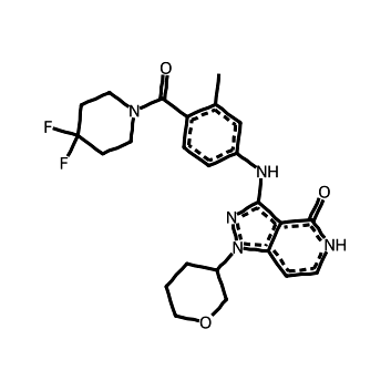 Cc1cc(Nc2nn(C3CCCOC3)c3cc[nH]c(=O)c23)ccc1C(=O)N1CCC(F)(F)CC1